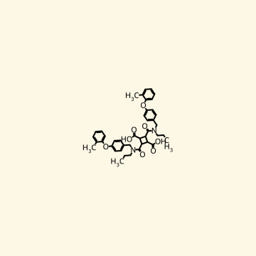 CCCN(Cc1ccc(Oc2ccccc2C)cc1)C(=O)C1C(C(=O)O)C(C(=O)N(CCC)Cc2ccc(Oc3ccccc3C)cc2)C1C(=O)O